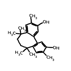 Cc1cc2c(cc1O)-c1cc(O)c(C)cc1C(C)(C)CCC2(C)C